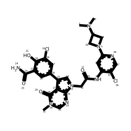 CN(C)C1CN(c2cc(NC(=O)Cn3cc(-c4cc(Cl)c(O)c(C(N)=O)c4)c4c(=O)n(C)cnc43)c(Cl)cn2)C1